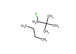 CC(C)(C)[SiH2]F.CCCC